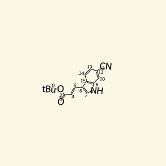 CC(C)(C)OC(=O)C=Cc1c[nH]c2cc(C#N)ccc12